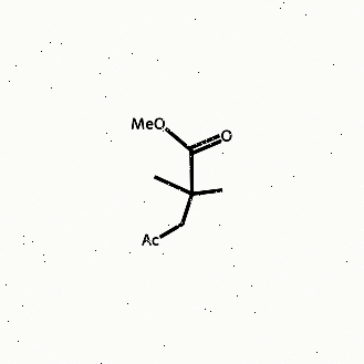 COC(=O)C(C)(C)CC(C)=O